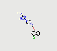 Nc1n[nH]c(N2CCN(CCOc3ccc(Cl)c4ccccc34)CC2)n1